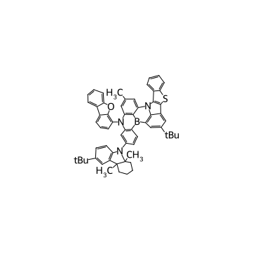 Cc1cc2c3c(c1)-n1c4c(cc(C(C)(C)C)cc4c4sc5ccccc5c41)B3c1ccc(N3c4ccc(C(C)(C)C)cc4C4(C)CCCCC34C)cc1N2c1cccc2c1oc1ccccc12